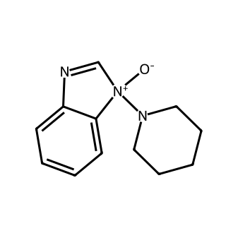 [O-][N+]1(N2CCCCC2)C=Nc2ccccc21